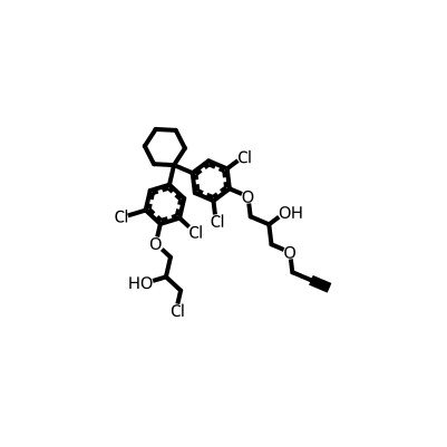 C#CCOCC(O)COc1c(Cl)cc(C2(c3cc(Cl)c(OCC(O)CCl)c(Cl)c3)CCCCC2)cc1Cl